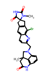 CN1C(=O)NC(=O)[C@]12Cc1cc3ccc(CN4CC5(C)CC(=O)Nc6cccc4c65)nc3c(Br)c1C2